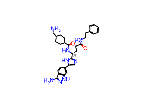 NCC1CCC(C(=O)N[C@@H](CCC(=O)NCCc2ccccc2)c2ncc(-c3ccc4c(N)n[nH]c4c3)[nH]2)CC1